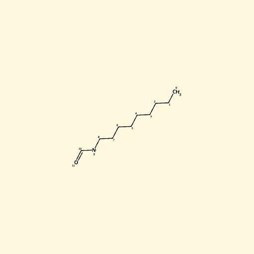 CCCCCCCCC[N]C=O